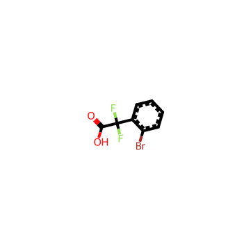 O=C(O)C(F)(F)c1ccccc1Br